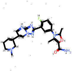 CC1=C(C(N)=O)OC(C)N1c1ccc(F)c(-c2nc3ncc(C4=CCCN(C)C4)cn3n2)c1